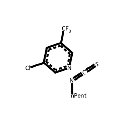 CCCCCN=C=S.FC(F)(F)c1cncc(Cl)c1